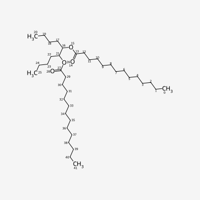 CCCCCCCCCCCCCC(=O)OC(CCCC)C(CCCC)OC(=O)CCCCCCCCCCCCC